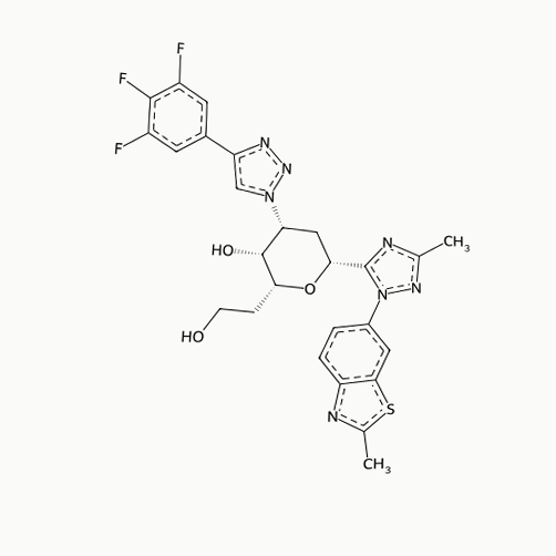 Cc1nc([C@H]2C[C@@H](n3cc(-c4cc(F)c(F)c(F)c4)nn3)[C@@H](O)[C@@H](CCO)O2)n(-c2ccc3nc(C)sc3c2)n1